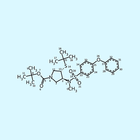 CN([C@H]1CN(C(=O)OC(C)(C)C)C[C@@H]1SC(C)(C)C)S(=O)(=O)c1ccc(Oc2ccccc2)cc1